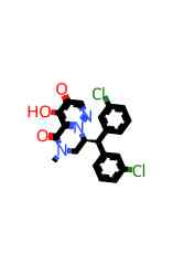 CN1C[C@H](C(c2cccc(Cl)c2)c2cccc(Cl)c2)n2ncc(=O)c(O)c2C1=O